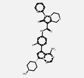 Nc1ncnn2c1c(-c1ccc(NC(=O)c3c4n(n(-c5ccccn5)c3=O)CCOC4)cc1F)cc2[C@H]1CC[C@H](O)CC1